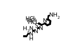 C=CCN/C(N)=N/c1nc(-c2cccc(CN)n2)cs1.Cl.Cl.Cl